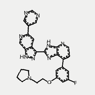 Fc1cc(OCCN2CCCC2)cc(-c2ccnc3[nH]c(-c4n[nH]c5cnc(-c6cncnc6)cc45)nc23)c1